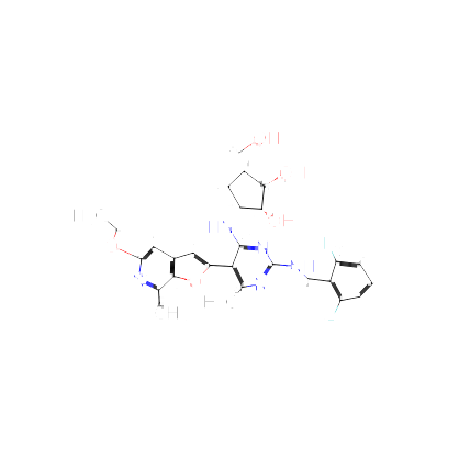 CCOc1cc2cc(-c3c(C)nc(NCc4c(F)cccc4F)nc3N[C@@H]3C[C@H](CO)[C@@H](O)[C@H]3O)oc2c(C)n1